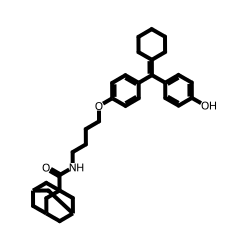 O=C(NCCCCOc1ccc(C(=C2CCCCC2)c2ccc(O)cc2)cc1)C12CC3CC(CC(C3)C1)C2